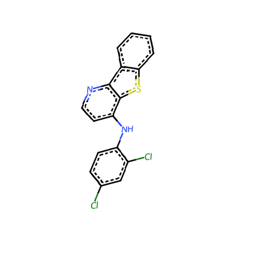 Clc1ccc(Nc2ccnc3c2sc2ccccc23)c(Cl)c1